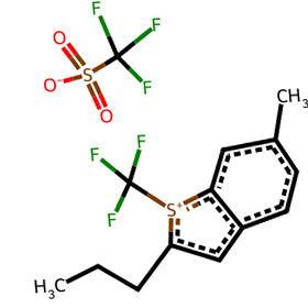 CCCc1cc2ccc(C)cc2[s+]1C(F)(F)F.O=S(=O)([O-])C(F)(F)F